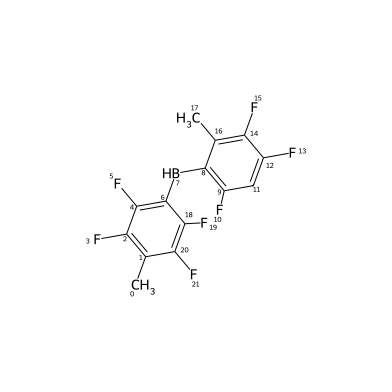 Cc1c(F)c(F)c(Bc2c(F)cc(F)c(F)c2C)c(F)c1F